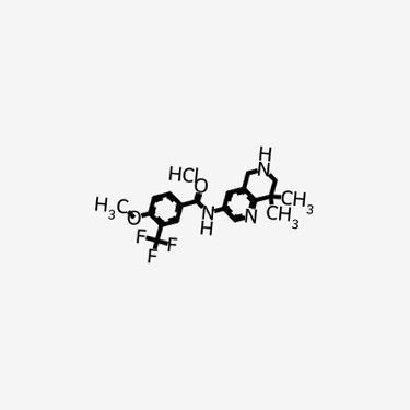 COc1ccc(C(=O)Nc2cnc3c(c2)CNCC3(C)C)cc1C(F)(F)F.Cl